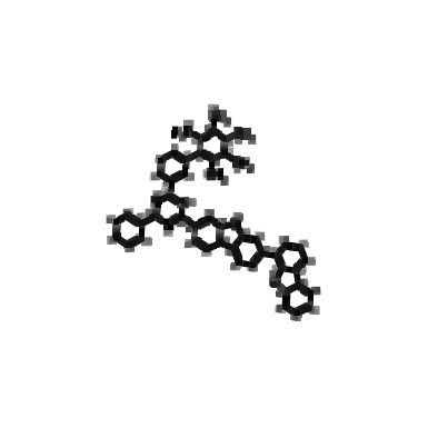 Bc1c(B)c(B)c(-c2cccc(-c3nc(-c4ccccc4)nc(-c4ccc5c(c4)oc4cc(-c6cccc7c6oc6ccccc67)ccc45)n3)c2)c(B)c1B